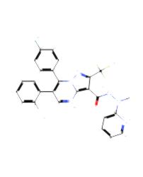 CN(NC(=O)c1c(C(F)(F)F)nn2c(-c3ccc(Cl)cc3)c(-c3ccccc3Cl)cnc12)c1ccccn1